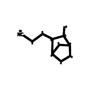 CC1C2CCC(C2)C1CCC#N